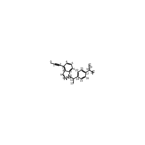 CC#Cc1cccc2c1cnn2C(C)c1ccc(C(F)F)cc1